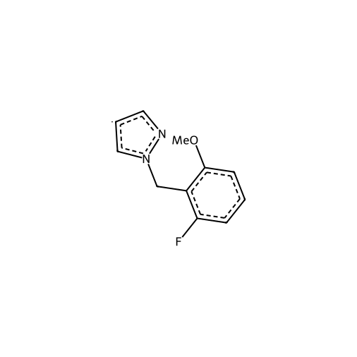 COc1cccc(F)c1Cn1c[c]cn1